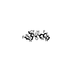 C=C[C@@]1(C(F)(F)F)CN(C(=O)Nc2cnc(-n3nccn3)c(C(F)F)c2)c2cnc3cc(F)nn3c21